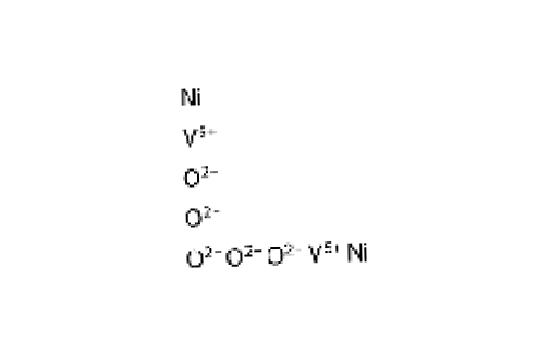 [Ni].[Ni].[O-2].[O-2].[O-2].[O-2].[O-2].[V+5].[V+5]